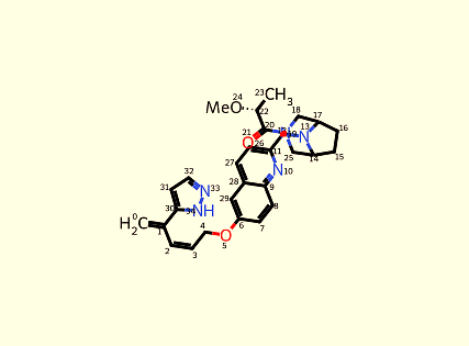 C=C(/C=C\COc1ccc2nc(CN3C4CCC3CN(C(=O)[C@@H](C)OC)C4)ccc2c1)c1ccn[nH]1